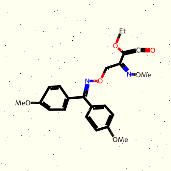 CCOC(=C=O)C(CON=C(c1ccc(OC)cc1)c1ccc(OC)cc1)=NOC